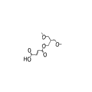 COCC(COC)COC(=O)C=CC(=O)O